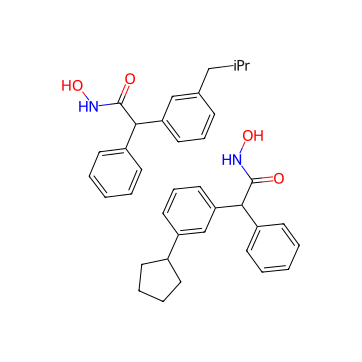 CC(C)Cc1cccc(C(C(=O)NO)c2ccccc2)c1.O=C(NO)C(c1ccccc1)c1cccc(C2CCCC2)c1